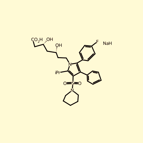 CC(C)c1c(S(=O)(=O)N2CCCCC2)c(-c2ccccc2)c(-c2ccc(F)cc2)n1CC[C@@H](O)C[C@@H](O)CC(=O)O.[NaH]